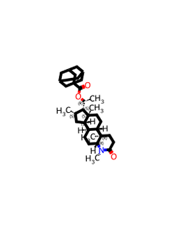 C[C@H]1C[C@H]2[C@@H]3CC[C@H]4N(C)C(=O)CC[C@]4(C)[C@H]3CC[C@]2(C)[C@H]1[C@@H](C)OC(=O)C12CC3CC(CC(C3)C1)C2